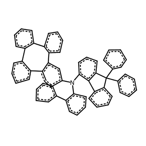 c1ccc(-c2ccccc2N(c2ccc3c(c2)-c2ccccc2-c2ccccc2-c2ccccc2-3)c2cccc3c2-c2ccccc2C3(c2ccccc2)c2ccccc2)cc1